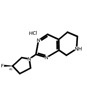 Cl.F[C@@H]1CCN(c2ncc3c(n2)CNCC3)C1